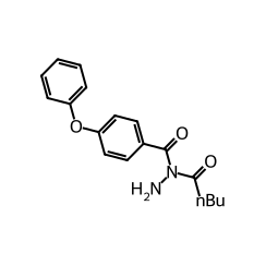 CCCCC(=O)N(N)C(=O)c1ccc(Oc2ccccc2)cc1